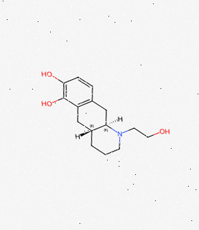 OCCN1CCC[C@@H]2Cc3c(ccc(O)c3O)C[C@H]21